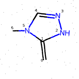 C=C1NN=CN1C